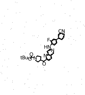 CC(C)(C)OC(=O)N1CCC(C(=O)c2ccc3cnc(Nc4ccc(-c5cccc(C#N)c5)cc4F)cc3n2)CC1